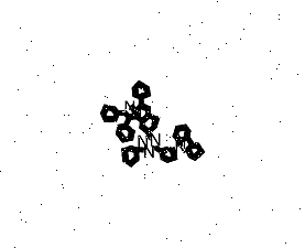 c1ccc(-c2nc(-c3cccc(-n4c5ccccc5c5ccccc54)c3)nc(-c3ccc4cc(-c5ccccc5)n5nc(-c6ccccc6)c(-c6ccccc6)c5c4c3)n2)cc1